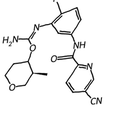 C[C@H]1COCCC1O/C(N)=N\c1cc(NC(=O)c2ccc(C#N)cn2)ccc1F